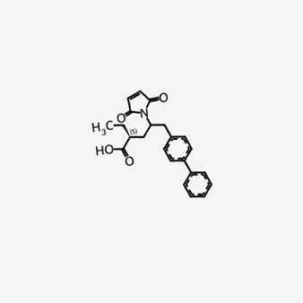 CC[C@@H](CC(Cc1ccc(-c2ccccc2)cc1)N1C(=O)C=CC1=O)C(=O)O